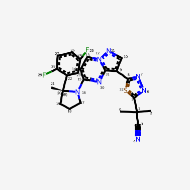 CC(C)(C#N)c1nnc(-c2cnn3ccc(N4CCC[C@]4(C)c4cc(F)ccc4F)nc23)s1